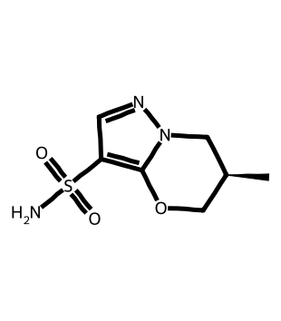 C[C@H]1COc2c(S(N)(=O)=O)cnn2C1